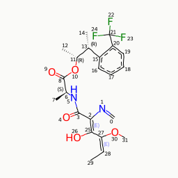 C=N/C(C(=O)N[C@@H](C)C(=O)O[C@H](C)[C@H](C)c1ccccc1C(F)(F)F)=C(O)\C(=C/C)OC